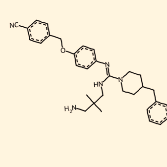 CC(C)(CN)CN/C(=N\c1ccc(OCc2ccc(C#N)cc2)cc1)N1CCC(Cc2ccccc2)CC1